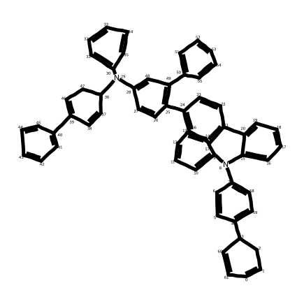 C1=CCC(c2ccc(N(c3ccccc3)c3ccccc3-c3ccc(-c4ccc(N(c5ccccc5)C5C=CC(c6ccccc6)=CC5)cc4-c4ccccc4)cc3)cc2)C=C1